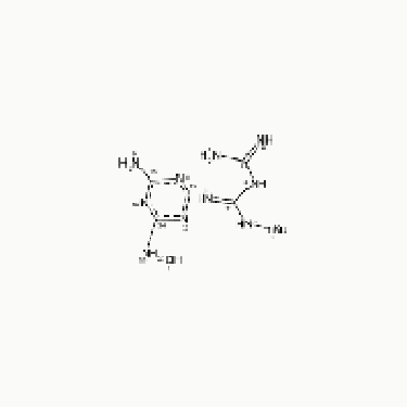 CCCCNC(=N)NC(=N)N.Cl.Nc1ncnc(N)n1